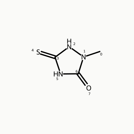 Cn1[nH]c(=S)[nH]c1=O